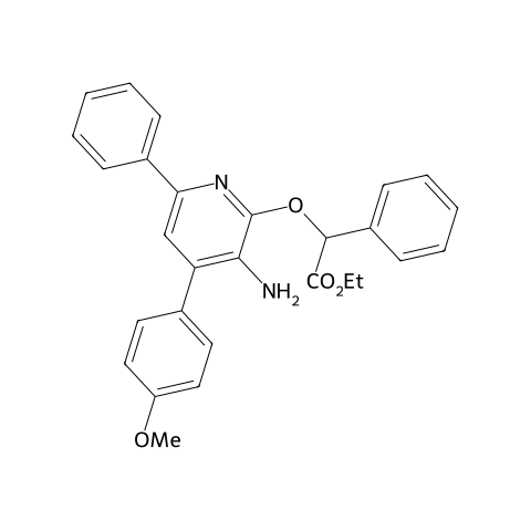 CCOC(=O)C(Oc1nc(-c2ccccc2)cc(-c2ccc(OC)cc2)c1N)c1ccccc1